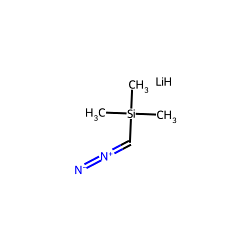 C[Si](C)(C)C=[N+]=[N-].[LiH]